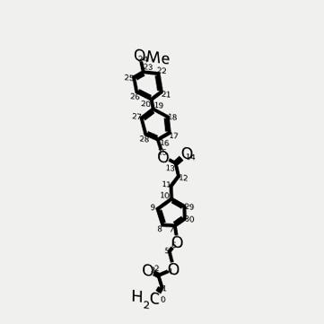 C=CC(=O)OCOc1ccc(CCC(=O)Oc2ccc(-c3ccc(OC)cc3)cc2)cc1